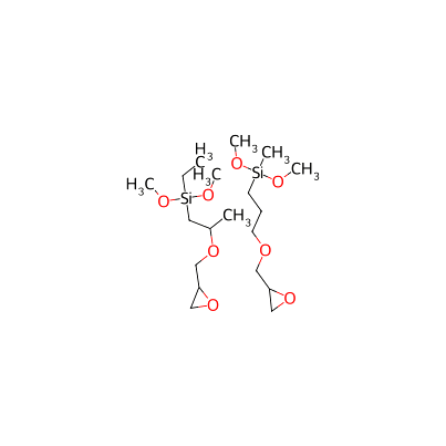 CC[Si](CC(C)OCC1CO1)(OC)OC.CO[Si](C)(CCCOCC1CO1)OC